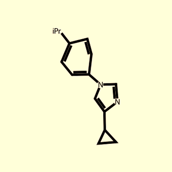 CC(C)c1ccc(-n2cnc(C3CC3)c2)cc1